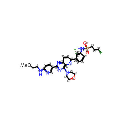 COCCNc1ccc(-c2nc(N3CCOCC3)c3nc(-c4cccc(NS(=O)(=O)CCCF)c4F)ccc3n2)cn1